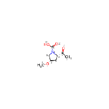 CO[C@H]1C[C@@H](C(C)=O)N(C(=O)O)C1